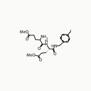 COC(=O)CCC(N)C(=O)N[C@@H](CCC(=O)OC)C(=O)NCc1ccc(I)cc1